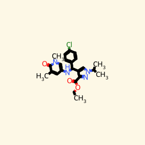 CCOC(=O)c1nn(C(C)C)cc1C(Nc1cc(C)c(=O)n(C)c1)c1ccc(Cl)cc1